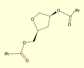 CC(C)C(=O)OC[C@@H]1C[C@H](OC(=O)C(C)C)CO1